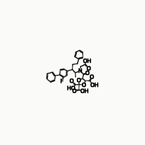 CC(C(CCc1ccccc1)c1ccc(-c2ccccc2)c(F)c1)N(CC(=O)O)C(=O)C1OC(C(=O)O)(C(=O)O)OC1C(=O)O